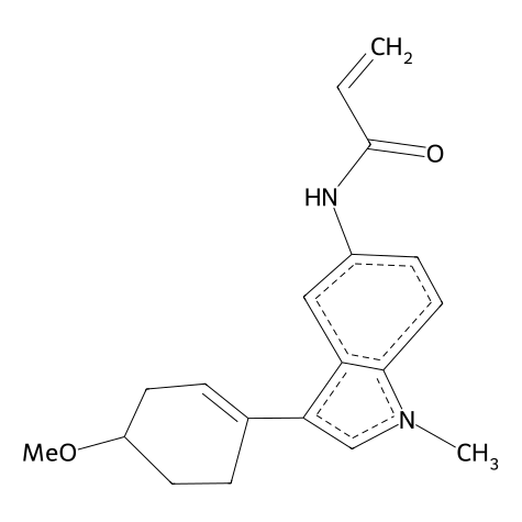 C=CC(=O)Nc1ccc2c(c1)c(C1=CCC(OC)CC1)cn2C